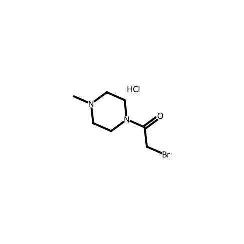 CN1CCN(C(=O)CBr)CC1.Cl